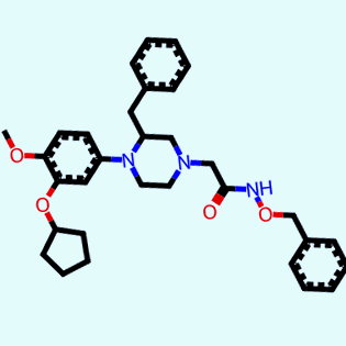 COc1ccc(N2CCN(CC(=O)NOCc3ccccc3)CC2Cc2ccccc2)cc1OC1CCCC1